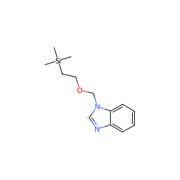 C[Si](C)(C)CCOCn1[c]nc2ccccc21